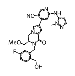 COC[C@H]1Cn2cc(-c3cc(Nc4ccnn4C)ncc3C#N)cc2C(=O)N1Cc1cc(F)ccc1CO